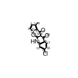 Cc1ccsc1C(=O)C1C(=O)Nc2cc(Cl)ccc2C1=O